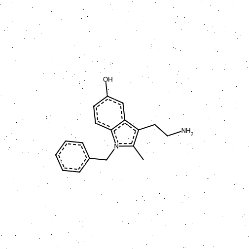 Cc1c(CCN)c2cc(O)ccc2n1Cc1ccccc1